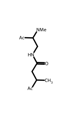 CNC(CNC(=O)CC(C)C(C)=O)C(C)=O